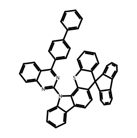 c1ccc(-c2ccc(-c3nc(-n4c5ccccc5c5ccc6c(c54)Sc4ccccc4C64c5ccccc5-c5ccccc54)nc4ccccc34)cc2)cc1